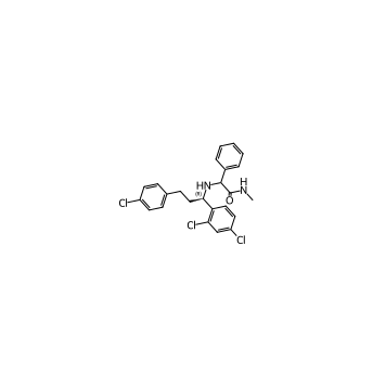 CNC(=O)C(N[C@H](CCc1ccc(Cl)cc1)c1ccc(Cl)cc1Cl)c1ccccc1